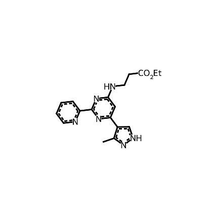 CCOC(=O)CCNc1cc(-c2c[nH]nc2C)nc(-c2ccccn2)n1